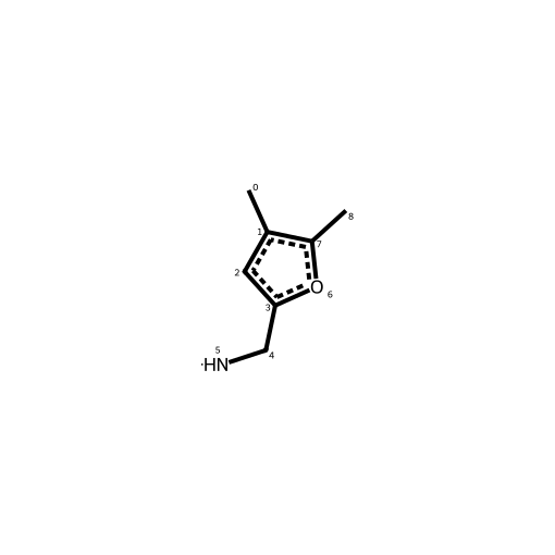 Cc1cc(C[NH])oc1C